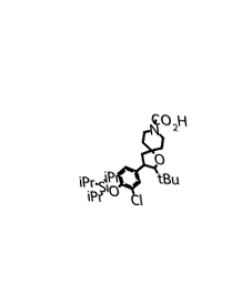 CC(C)[Si](Oc1ccc(C2CC3(CCN(C(=O)O)CC3)OC2C(C)(C)C)cc1Cl)(C(C)C)C(C)C